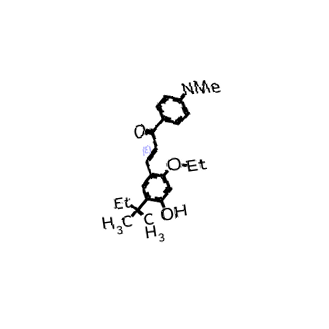 CCOc1cc(O)c(C(C)(C)CC)cc1/C=C/C(=O)c1ccc(NC)cc1